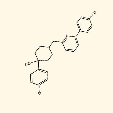 OC1(c2ccc(Cl)cc2)CCN(Cc2cccc(-c3ccc(Cl)cc3)n2)CC1